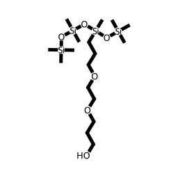 C[Si](C)(C)O[Si](C)(C)O[Si](C)(CCCOCCOCCCO)O[Si](C)(C)C